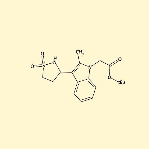 Cc1c(C2CCS(=O)(=O)N2)c2ccccc2n1CC(=O)OC(C)(C)C